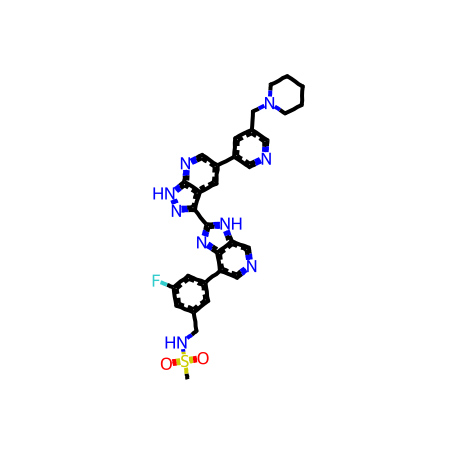 CS(=O)(=O)NCc1cc(F)cc(-c2cncc3[nH]c(-c4n[nH]c5ncc(-c6cncc(CN7CCCCC7)c6)cc45)nc23)c1